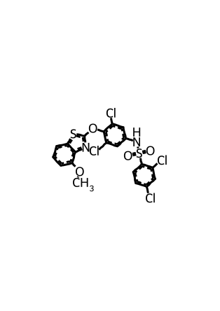 COc1cccc2sc(Oc3c(Cl)cc(NS(=O)(=O)c4ccc(Cl)cc4Cl)cc3Cl)nc12